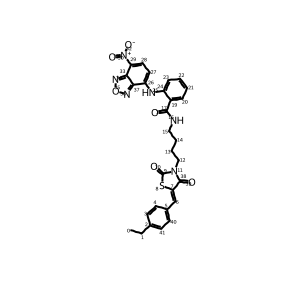 CCc1ccc(/C=C2\SC(=O)N(CCCCNC(=O)c3ccccc3Nc3ccc([N+](=O)[O-])c4nonc34)C2=O)cc1